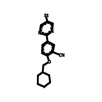 CCc1cnc(-c2ccc(OCC3CC[CH]CC3)c(C#N)c2)nc1